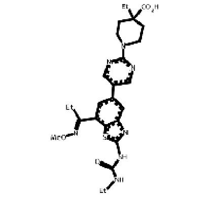 CCNC(=O)Nc1nc2cc(-c3cnc(N4CCC(CC)(C(=O)O)CC4)nc3)cc(C(CC)=NOC)c2s1